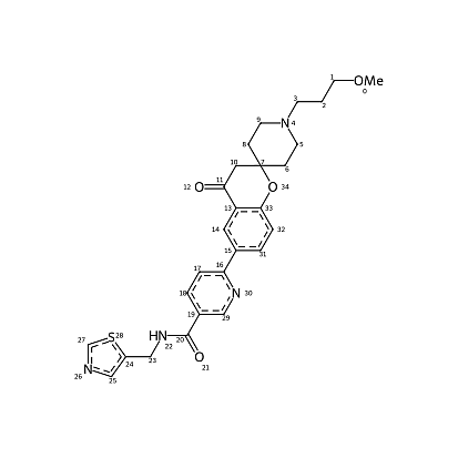 COCCCN1CCC2(CC1)CC(=O)c1cc(-c3ccc(C(=O)NCc4cncs4)cn3)ccc1O2